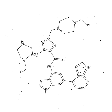 CC(C)CN1CCN(Cc2nc(C(=O)Nc3cc(-c4cccc5[nH]ccc45)cc4[nH]ncc34)c(C(=O)O)s2)CC1.CC(C)CN1CCNCC1